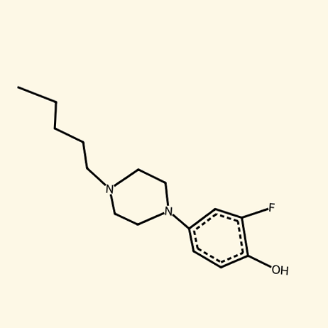 CCCCCN1CCN(c2ccc(O)c(F)c2)CC1